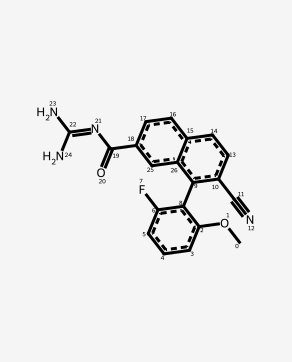 COc1cccc(F)c1-c1c(C#N)ccc2ccc(C(=O)N=C(N)N)cc12